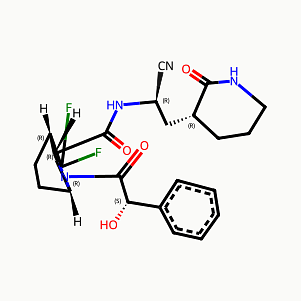 N#C[C@@H](C[C@H]1CCCNC1=O)NC(=O)[C@H]1[C@H]2CC[C@H](CC2(F)F)N1C(=O)[C@@H](O)c1ccccc1